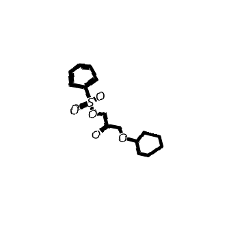 O=C(COC1CCCCC1)COS(=O)(=O)c1ccccc1